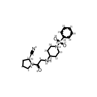 N#C[C@@H]1CCCN1C(=O)CNC1CCN(S(=O)(=O)c2ccccc2)CC1